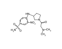 CN(C)CC(=O)N1CCC(Nc2ccc(S(N)(=O)=O)cc2[N+](=O)[O-])C1